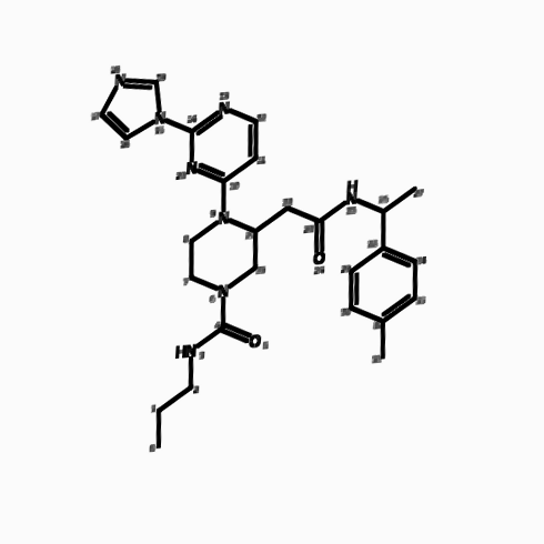 CCCNC(=O)N1CCN(c2ccnc(-n3ccnc3)n2)C(CC(=O)NC(C)c2ccc(C)cc2)C1